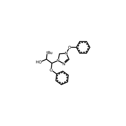 CC(C)(C)C(O)C(Oc1ccccc1)N1CN(Oc2ccccc2)C=N1